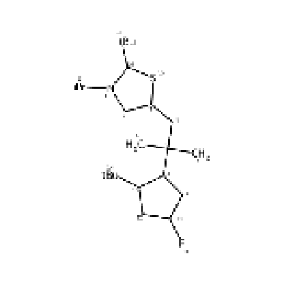 CC(C)N1CC(CC(C)(C)C2CC(F)CC2C(C)(C)C)SC1C(C)(C)C